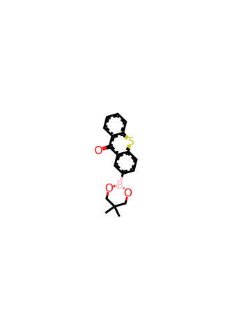 CC1(C)COB(c2ccc3sc4ccccc4c(=O)c3c2)OC1